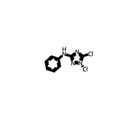 Clc1nc(Nc2ccccc2)nn1Cl